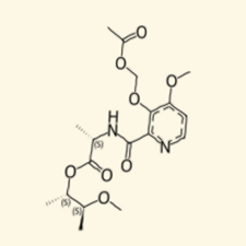 COc1ccnc(C(=O)N[C@@H](C)C(=O)O[C@@H](C)[C@H](C)OC)c1OCOC(C)=O